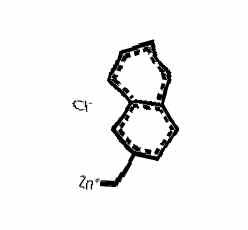 [Cl-].[Zn+][CH2]c1ccc2ccccc2c1